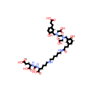 O=C(O)CCc1ccc(O)c(CN(CCN(CC(=O)O)Cc2cc(CCC(=O)NCCCCCCNCCCCC(NC(=O)NC(CCC(=O)O)C(=O)O)C(=O)O)ccc2O)CC(=O)O)c1